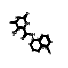 C=C1NC(=O)NC(C(=O)N[C@H]2CCCc3c(C)cccc32)=C1O